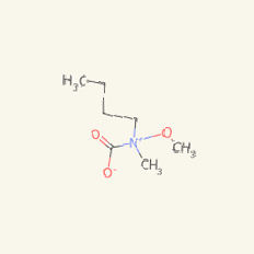 CCCC[N+](C)(OC)C(=O)[O-]